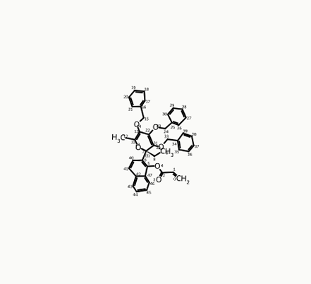 C=CC(=O)Oc1c([C@]2(CC)OC(C)=C(OCc3ccccc3)C(OCc3ccccc3)=C2OCc2ccccc2)ccc2ccccc12